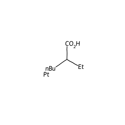 CCCCC(CC)C(=O)O.[Pt]